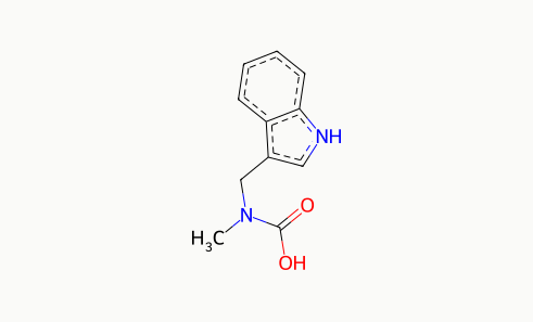 CN(Cc1c[nH]c2ccccc12)C(=O)O